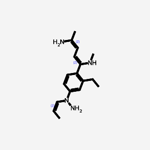 C/C=C\N(N)c1ccc(/C(=C/C=C(/C)N)NC)c(CC)c1